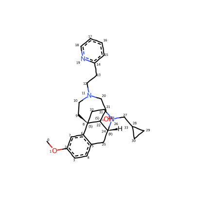 COc1ccc2c(c1)[C@@]13CCN(CCc4ccccn4)CC[C@@]1(O)[C@@H](C2)N(CC1CC1)CC3